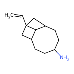 C=CC12CC3CCC(N)CCC(C1)C32